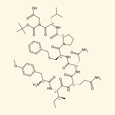 CC[C@H](C)[C@H](NC(=O)[C@@H](N)Cc1ccc(OC)cc1)C(=O)N[C@@H](CCC(N)=O)C(=O)N[C@@H](CC(N)=O)C(=O)N[C@@H](CSCc1ccccc1)C(=O)N1CCC[C@H]1C(=O)N[C@@H](CC(C)C)C(=O)N(CC(=O)O)C(=O)OC(C)(C)C